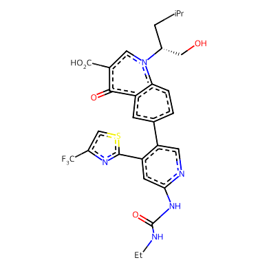 CCNC(=O)Nc1cc(-c2nc(C(F)(F)F)cs2)c(-c2ccc3c(c2)c(=O)c(C(=O)O)cn3[C@@H](CO)CC(C)C)cn1